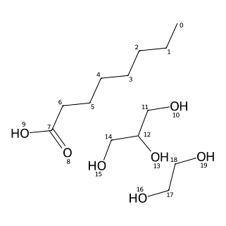 CCCCCCCC(=O)O.OCC(O)CO.OCCO